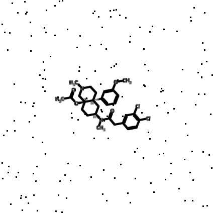 COc1cccc([C@@]23CCN(C)C[C@@]2(OC(C)=O)CC[C@H](N(C)C(=O)Cc2ccc(Cl)c(Cl)c2)C3)c1